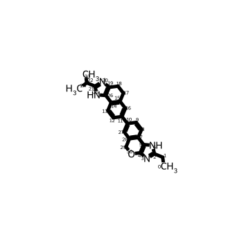 CCc1nc2c([nH]1)-c1ccc(-c3ccc4c(c3)CCc3nc(C(C)C)[nH]c3-4)cc1CO2